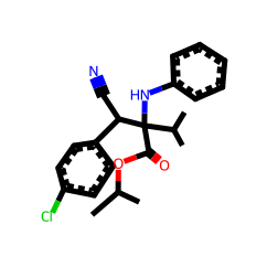 CC(C)OC(=O)C(Nc1ccccc1)(C(C)C)C(C#N)c1ccc(Cl)cc1